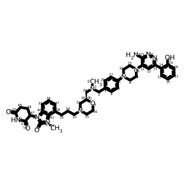 CN(Cc1ccc(N2CCN(c3cc(-c4ccccc4O)nnc3N)CC2)cc1)C[C@@H]1CN(CCCc2cccc3c2n(C)c(=O)n3C2CCC(=O)NC2=O)CCO1